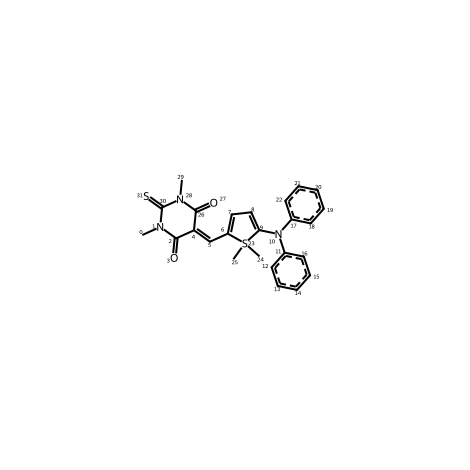 CN1C(=O)C(=CC2=CC=C(N(c3ccccc3)c3ccccc3)S2(C)C)C(=O)N(C)C1=S